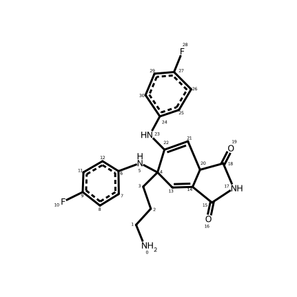 NCCCC1(Nc2ccc(F)cc2)C=C2C(=O)NC(=O)C2C=C1Nc1ccc(F)cc1